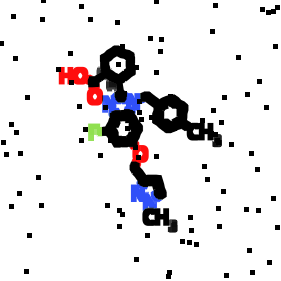 Cc1ccc(Cn2c([C@@H]3CCCC[C@@H]3C(=O)O)nc3c(F)cc(OCc4ccn(C)n4)cc32)cc1